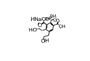 O=C(O)c1cc(CCO)c(CCO)c(C(=O)O)c1S(=O)(=O)O.[NaH]